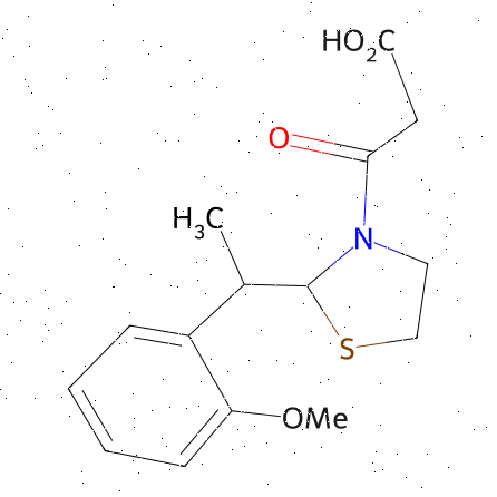 COc1ccccc1C(C)C1SCCN1C(=O)CC(=O)O